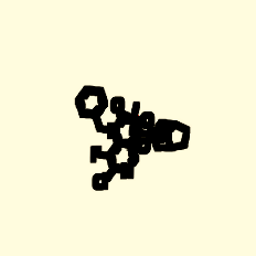 CC(C)(C)OC(=O)N1C2CCC1CN(c1cc(=O)n(Cc3ccccc3)c3c(F)c(Cl)ncc13)C2